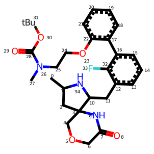 CC1CC2(COCC(=O)N2)C(Cc2cccc(-c3ccccc3OCCN(C)C(=O)OC(C)(C)C)c2F)N1